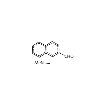 CNC.O=Cc1ccc2ccccc2c1